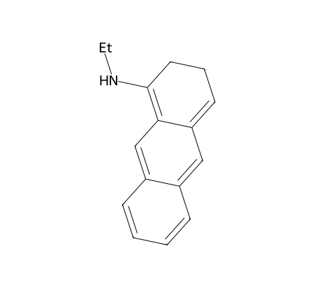 CCNC1=c2cc3ccccc3cc2=CCC1